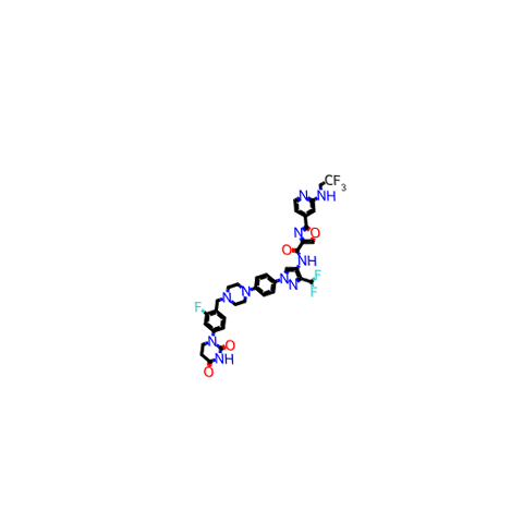 O=C1CCN(c2ccc(CN3CCN(c4ccc(-n5cc(NC(=O)c6coc(-c7ccnc(NCC(F)(F)F)c7)n6)c(C(F)F)n5)cc4)CC3)c(F)c2)C(=O)N1